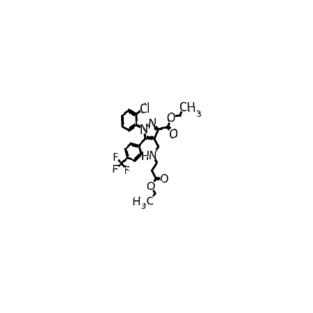 CCOC(=O)CCNCc1c(C(=O)OCC)nn(-c2ccccc2Cl)c1-c1ccc(C(F)(F)F)cc1